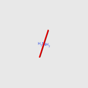 CCCCCCCCCCCCCCCCCCCCCCCCCCCCC(N)C(N)CCCCCCCCCCCCCCCCCCCCCCCCCCCC